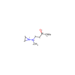 COC(=O)CCN(C)N1CC1